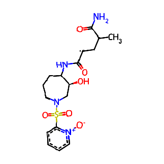 CC(C[CH]C(=O)NC1CCCN(S(=O)(=O)c2cccc[n+]2[O-])C[C@@H]1O)C(N)=O